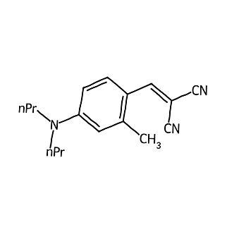 CCCN(CCC)c1ccc(C=C(C#N)C#N)c(C)c1